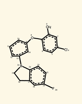 Oc1cc(Cl)ccc1Oc1cccc(B2CCc3cc(F)ccc32)c1